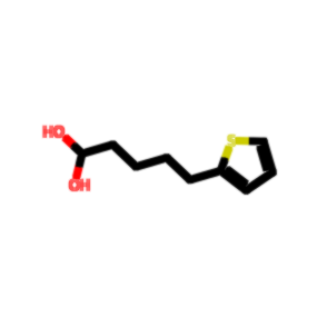 OC(O)CCCCc1cccs1